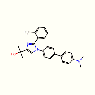 CN(C)c1ccc(-c2ccc(-n3cc(C(C)(C)O)nc3-c3ccccc3C(F)(F)F)cc2)cc1